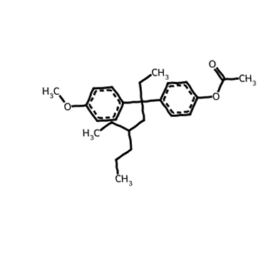 CCCC(CC)CC(CC)(c1ccc(OC)cc1)c1ccc(OC(C)=O)cc1